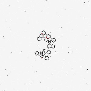 c1ccc(-c2ccc(-c3ccccc3N(c3ccc(-c4cccc5ccccc45)cc3)c3ccc(-c4ccc5c(c4)C4(c6ccccc6-5)c5ccccc5-n5c6ccccc6c6cccc4c65)c4ccccc34)cc2)cc1